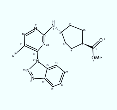 COC(=O)[C@H]1CC[C@H](Nc2ncc(F)c(-n3nnc4ccccc43)n2)CC1